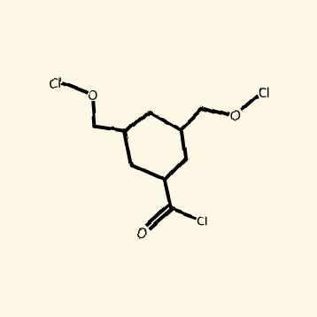 O=C(Cl)C1CC(COCl)CC(COCl)C1